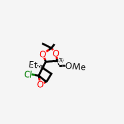 CC[C@]1(C2OC(C)(C)O[C@@H]2COC)CC2OC21Cl